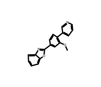 COc1cc(-c2nc3ccccc3o2)ccc1-c1cccnc1